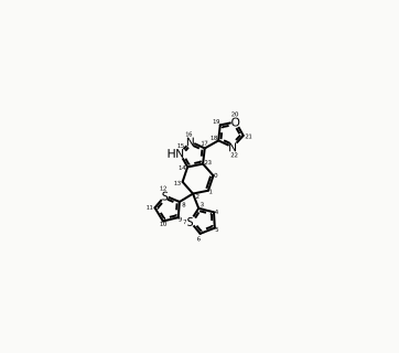 C1=CC(c2cccs2)(c2cccs2)Cc2[nH]nc(-c3cocn3)c21